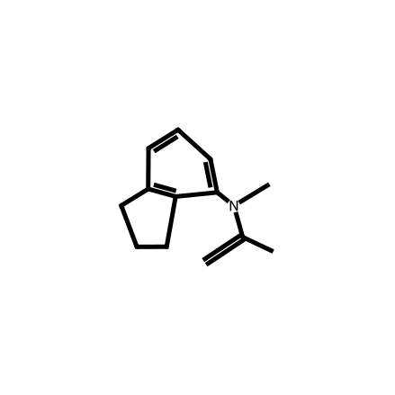 C=C(C)N(C)c1cccc2c1CCC2